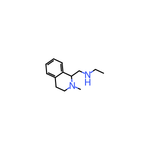 CCNCC1c2ccccc2CCN1C